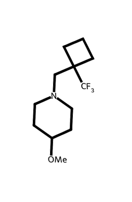 COC1CCN(CC2(C(F)(F)F)CCC2)CC1